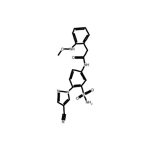 CONc1ccccc1CC(=O)Nc1ccc(-n2cc(C#N)cn2)c(S(N)(=O)=O)c1